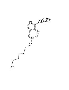 CCOC(=O)c1occ2cc(OCCCCCBr)ccc12